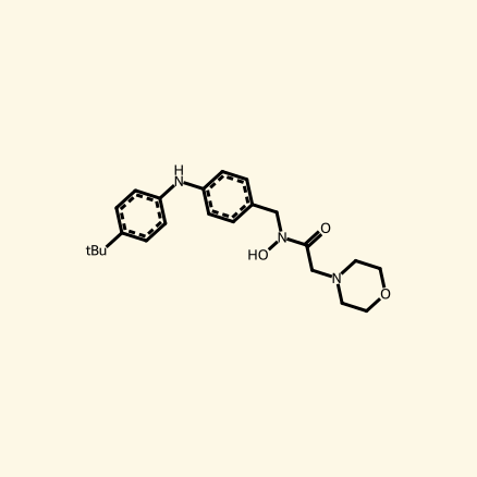 CC(C)(C)c1ccc(Nc2ccc(CN(O)C(=O)CN3CCOCC3)cc2)cc1